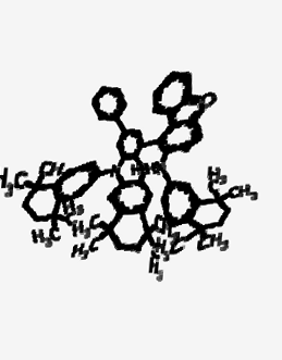 CC1(C)CCC(C)(C)c2cc(Nc3ccc4oc5ccccc5c4c3-c3cc(-c4ccccc4)cc4c3Bc3cc5c(cc3N4c3ccc4c(c3)C(C)(C)CCC4(C)C)C(C)(C)CCC5(C)C)ccc21